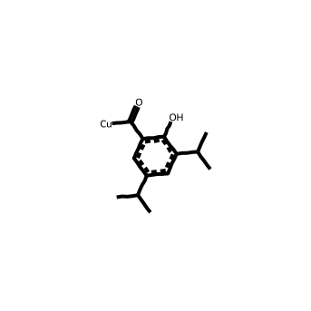 CC(C)c1cc([C](=O)[Cu])c(O)c(C(C)C)c1